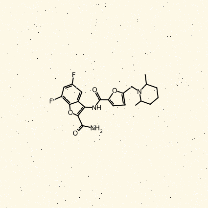 CC1CCCC(C)N1Cc1ccc(C(=O)Nc2c(C(N)=O)oc3c(F)cc(F)cc23)o1